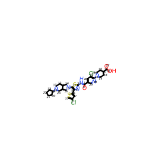 O=C(Nc1nc(-c2cc(Cl)cs2)c(N2CC3CCN(C4CCCC4)CC3C2)s1)c1cnc(N2CCC(C(=O)O)CC2)c(Cl)c1